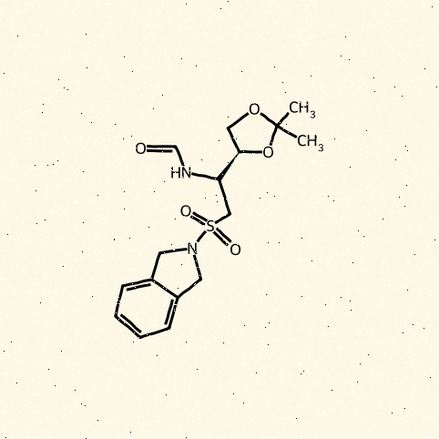 CC1(C)OC[C@H](C(CS(=O)(=O)N2Cc3ccccc3C2)NC=O)O1